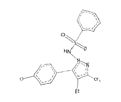 CCc1c(C(F)(F)F)nn(NS(=O)(=O)c2ccccc2)c1-c1ccc(Cl)cc1